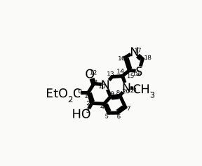 CCOC(=O)c1c(O)c2cccc3c2n(c1=O)CC(c1cncs1)N3C